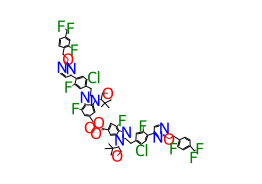 CC1(C)COCC1n1c(Cc2cc(F)c(-c3ccnc(OCc4ccc(C(F)F)cc4F)n3)cc2Cl)nc2c(F)cc(C(=O)OC(=O)c3cc(F)c4nc(Cc5cc(F)c(-c6ccnc(OCc7ccc(C(F)F)cc7F)n6)cc5Cl)n(C5COCC5(C)C)c4c3)cc21